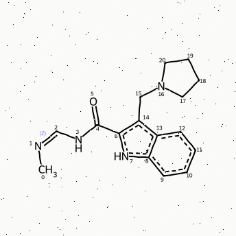 C/N=C\NC(=O)c1[nH]c2ccccc2c1CN1CCCC1